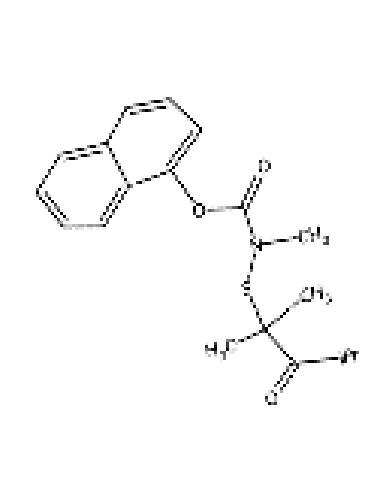 CC(C)C(=O)C(C)(C)SN(C)C(=O)Oc1cccc2ccccc12